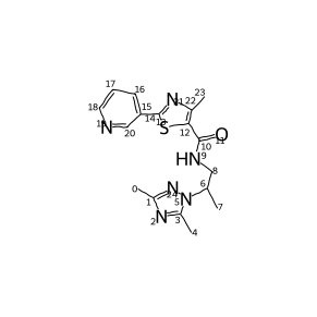 Cc1nc(C)n(C(C)CNC(=O)c2sc(-c3cccnc3)nc2C)n1